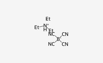 CC[NH+](CC)CC.N#C[B-](C#N)(C#N)C#N